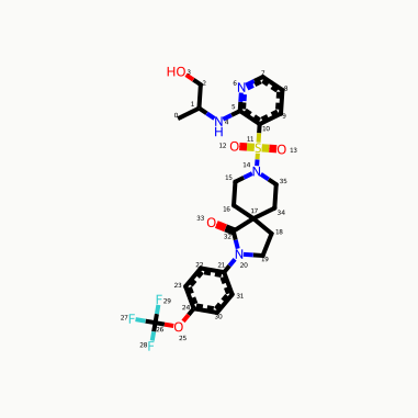 CC(CO)Nc1ncccc1S(=O)(=O)N1CCC2(CCN(c3ccc(OC(F)(F)F)cc3)C2=O)CC1